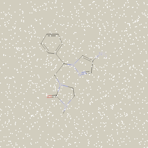 CN1CCN(CC(c2ccccc2)n2cc(N)cn2)C1=O